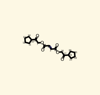 O=C(/C=C/C(=O)OCC(=O)C1CCCC1)OCC(=O)C1CCCC1